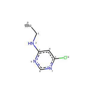 CC(C)(C)CNc1cc(Cl)ncn1